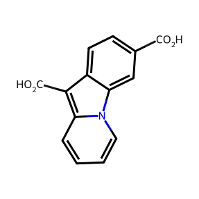 O=C(O)c1ccc2c(C(=O)O)c3ccccn3c2c1